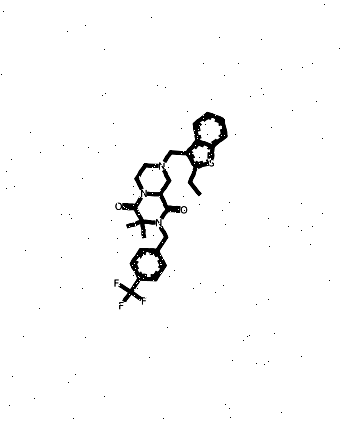 CCc1sc2ccccc2c1CN1CCN2C(=O)C(C)(C)N(Cc3ccc(C(F)(F)F)cc3)C(=O)C2C1